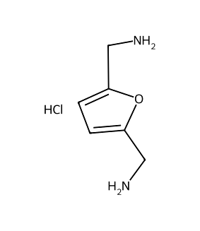 Cl.NCc1ccc(CN)o1